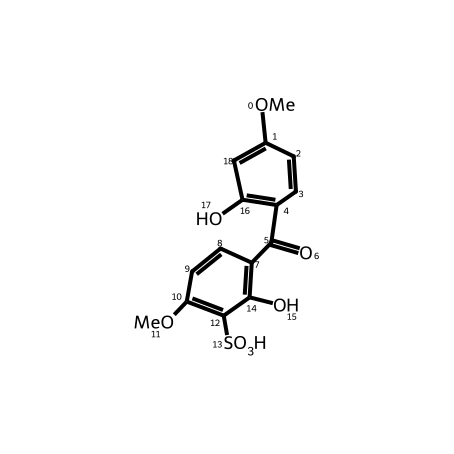 COc1ccc(C(=O)c2ccc(OC)c(S(=O)(=O)O)c2O)c(O)c1